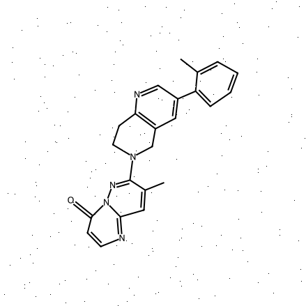 Cc1ccccc1-c1cnc2c(c1)CN(c1nn3c(=O)ccnc3cc1C)CC2